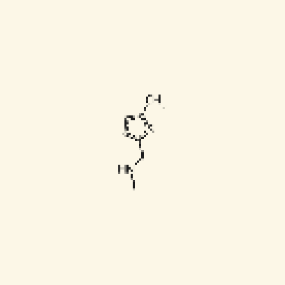 Cc1ccc(CNI)s1